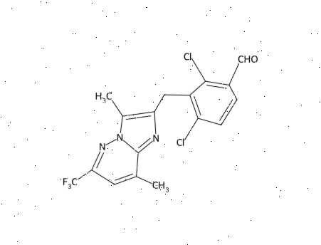 Cc1cc(C(F)(F)F)nn2c(C)c(Cc3c(Cl)ccc(C=O)c3Cl)nc12